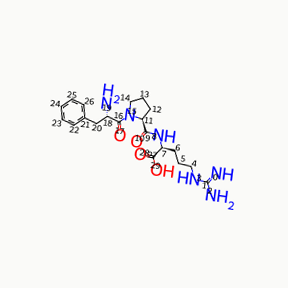 N=C(N)NCCC[C@H](NC(=O)[C@@H]1CCCN1C(=O)[C@@H](N)Cc1ccccc1)C(=O)O